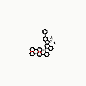 CC1(C)c2cc(-c3ccccc3)ccc2-c2cc(N(c3ccc(-c4ccccc4)cc3)c3ccccc3-c3ccc(-c4ccccc4)cc3)c3ccccc3c21